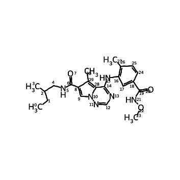 CCC(C)CNC(=O)c1cn2ncnc(Nc3cc(C(=O)NOC)ccc3C)c2c1C